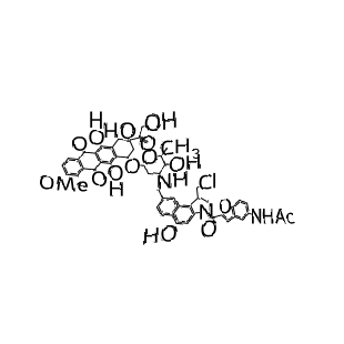 COc1cccc2c1C(=O)c1c(O)c3c(c(O)c1C2=O)C[C@@](O)(C(=O)CO)C[C@@H]3OC1C[C@H](NCc2ccc3c(O)cc4c(c3c2)C(CCl)CN4C(=O)c2cc3cc(NC(C)=O)ccc3o2)[C@H](O)[C@H](C)O1